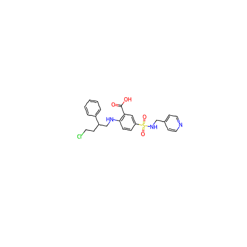 O=C(O)c1cc(S(=O)(=O)NCc2ccncc2)ccc1NCC(CCCl)c1ccccc1